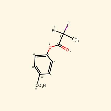 CCC(C)(I)C(=O)Oc1ccc(C(=O)O)cc1